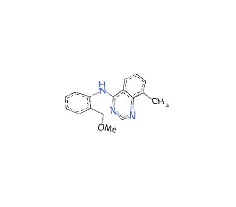 COCc1ccccc1Nc1ncnc2c(C)cccc12